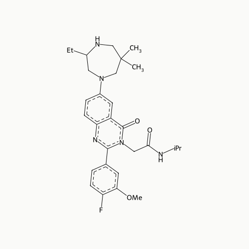 CCC1CN(c2ccc3nc(-c4ccc(F)c(OC)c4)n(CC(=O)NC(C)C)c(=O)c3c2)CC(C)(C)CN1